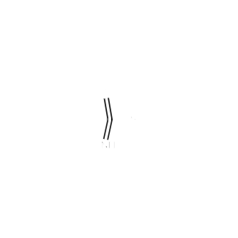 N=C=O.[Cd]